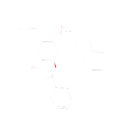 O=C(O[C@@H]1[C@@H](O[C@@H](CC2CCCCC2)C(=O)O)[C@@H](O)[C@@H](CO)O[C@H]1O)c1ccccc1